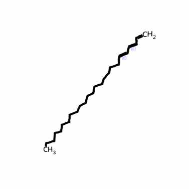 C=C/C=C/C=C/CCCCCCCCCCCCCCCCCCC